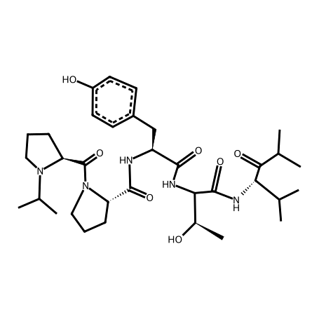 CC(C)C(=O)[C@@H](NC(=O)C(NC(=O)[C@H](Cc1ccc(O)cc1)NC(=O)[C@@H]1CCCN1C(=O)[C@@H]1CCCN1C(C)C)[C@@H](C)O)C(C)C